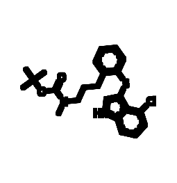 CN(CCCc1ccccc1Sc1c[nH]c2cccc(Cl)c12)C(=O)OC(C)(C)C